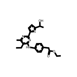 CCOC(=O)Cc1ccc(Nc2nc(-c3ccc(C(C)O)s3)nc(C)c2CC)cc1